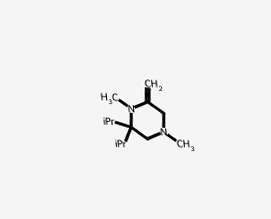 C=C1CN(C)CC(C(C)C)(C(C)C)N1C